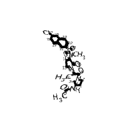 CC(=O)NC1CCN(C(=O)[C@@H](C)N2CC[C@H](N(C)S(=O)(=O)c3ccc4cc(Cl)ccc4c3)C2=O)C1